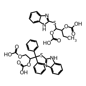 CCC(OC(=O)O)C(OC(=O)O)Sc1nc2ccccc2[nH]1.O=C(O)OCC(OC(=O)O)C(Sc1nc2ccccc2[nH]1)(c1ccccc1)c1ccccc1